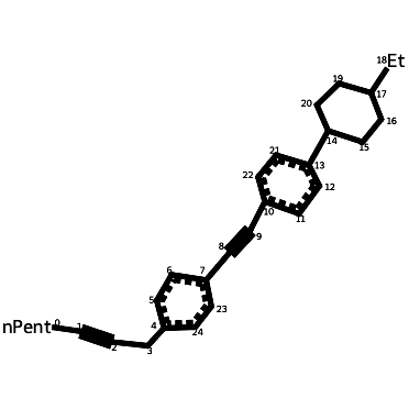 CCCCCC#CCc1ccc(C#Cc2ccc(C3CCC(CC)CC3)cc2)cc1